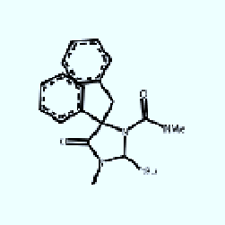 CNC(=O)N1C(C(C)(C)C)N(C)C(=O)C1(Cc1ccccc1)c1ccccc1